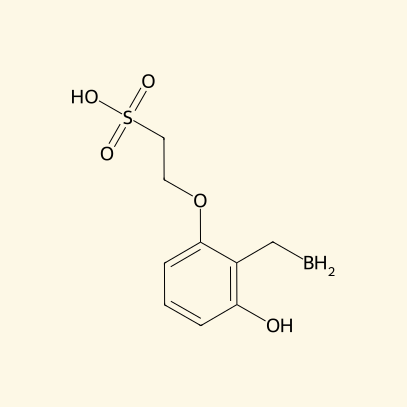 BCc1c(O)cccc1OCCS(=O)(=O)O